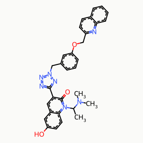 CC(N(C)C)n1c(=O)c(-c2nnn(Cc3cccc(OCc4ccc5ccccc5n4)c3)n2)cc2cc(O)ccc21